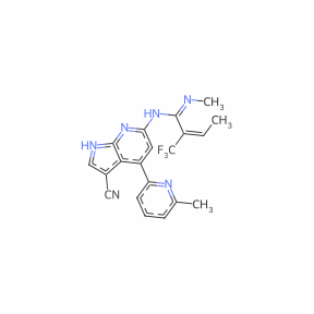 C/C=C(\C(=N/C)Nc1cc(-c2cccc(C)n2)c2c(C#N)c[nH]c2n1)C(F)(F)F